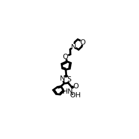 O=C(NO)C1SC(c2ccc(OCCN3CCOCC3)cc2)=NC1c1ccccc1